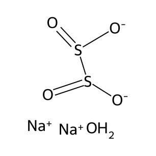 O.O=S([O-])S(=O)[O-].[Na+].[Na+]